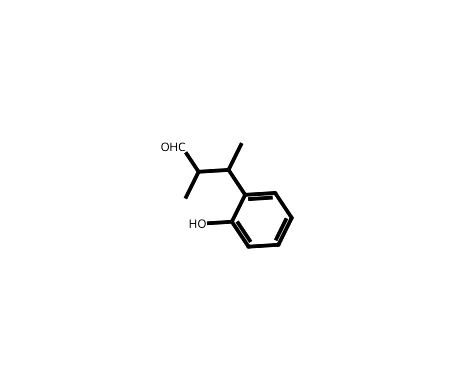 CC(C=O)C(C)c1ccccc1O